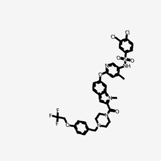 Cc1cc(Oc2ccc3cc(C(=O)N4CCN(Cc5ccc(OCC(F)(F)F)cc5)CC4)n(C)c3c2)ncc1NS(=O)(=O)c1ccc(Cl)c(Cl)c1